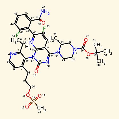 CC(C)c1nccc(CCCOS(C)(=O)=O)c1-n1c(=O)nc(N2CCN(C(=O)OC(C)(C)C)C[C@@H]2C)c2cc(F)c(-c3c(F)cccc3C(N)=O)nc21